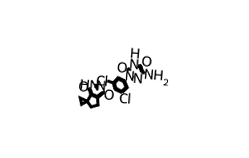 Nc1nn(-c2cc(Cl)c(Oc3n[nH]c(=O)c4c3CCC43CC3)c(Cl)c2)c(=O)[nH]c1=O